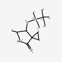 CC1NC(=O)C2(CC2)C1O[Si](C)(C)C(C)(C)C